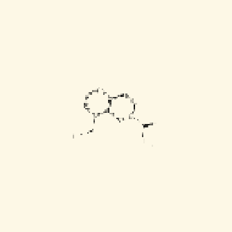 CC(C)Cc1ccnc2ccc(C(N)=O)cc12